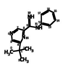 CC(C)(C)c1cncc(C(=N)Nc2ccccc2)n1